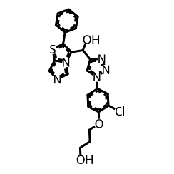 OCCCOc1ccc(-n2cc(C(O)c3c(-c4ccccc4)sc4cncn34)nn2)cc1Cl